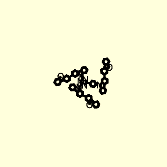 c1ccc2c(c1)oc1cc(-c3ccc4c5ccccc5n(-c5ccc(-c6nc(-n7c8ccccc8c8ccc(-c9ccc%10c(c9)oc9ccccc9%10)cc87)nc(-n7c8ccccc8c8ccc(-c9ccc%10c(c9)oc9ccccc9%10)cc87)n6)cc5)c4c3)ccc12